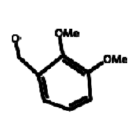 COc1cccc(C[O])c1OC